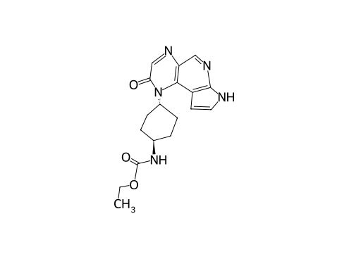 CCOC(=O)N[C@H]1CC[C@H](n2c(=O)cnc3cnc4[nH]ccc4c32)CC1